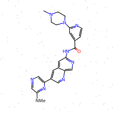 CNc1cncc(-c2cnc3cnc(NC(=O)c4ccnc(N5CCN(C)CC5)c4)cc3c2)n1